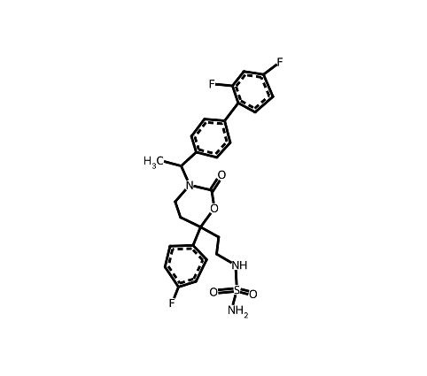 CC(c1ccc(-c2ccc(F)cc2F)cc1)N1CCC(CCNS(N)(=O)=O)(c2ccc(F)cc2)OC1=O